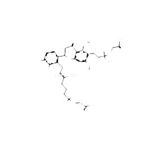 COc1cc2c(c(OC)c1CCC(C)(C)OCC(=O)O)C(=O)CC(c1ccc(OC)c(OC)c1C/C=C(\C)CCCC(C)(C)OCC(=O)O)O2